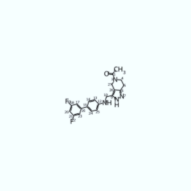 CC(=O)N1CCc2n[nH]c(CNc3ccc(-c4cc(F)cc(F)c4)cc3)c2C1